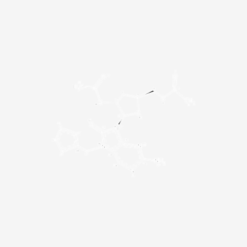 CC(=O)OC[C@@H]1C[C@@H](OC(C)=O)[C@H](n2c(=O)n(Cc3ccsc3)c3cnc(N)nc32)O1